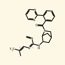 C=N/C(=N\C=C(/C)C(F)(F)F)NC1CC2CC1N(C(=O)c1ccccc1-c1ncccn1)C2